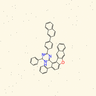 c1ccc(-c2ccc3oc4cc5ccccc5cc4c3c2C2=NC(c3ccc(-c4ccc5ccccc5c4)cc3)=NC(c3ccccc3)N2)cc1